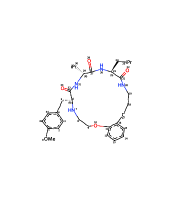 COc1ccc(C[C@H]2NCCOc3ccccc3CCCNC(=O)[C@H](CC(C)C)NC(=O)[C@@H](C(C)C)NC2=O)cc1